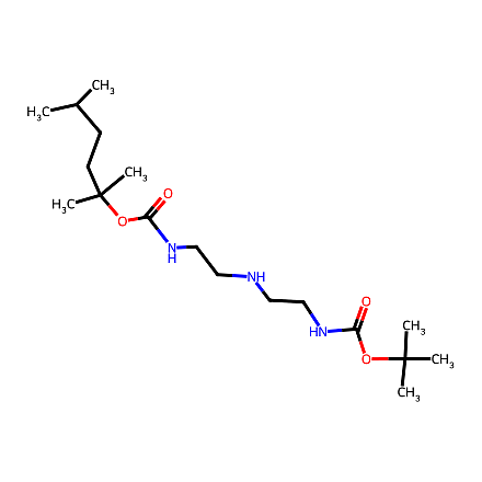 CC(C)CCC(C)(C)OC(=O)NCCNCCNC(=O)OC(C)(C)C